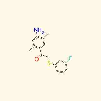 Cc1cc(C(=O)CSc2cccc(F)c2)c(C)cc1N